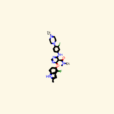 CCN1CCN(c2ccc(NC3=NC=NC(Oc4ccc5[nH]c(C)cc5c4F)C3C(=O)N(C)CC)cc2F)CC1